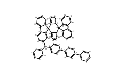 c1ccc(-c2ccc(-c3ccc(N(c4ccccc4)c4ccc5c(c4)C4(c6ccccc6-5)c5ccccc5C(c5ccccc5)(c5ccccc5)c5ccccc54)cc3)cc2)cc1